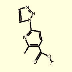 Cc1nc(-n2ccnn2)ccc1C(=O)OF